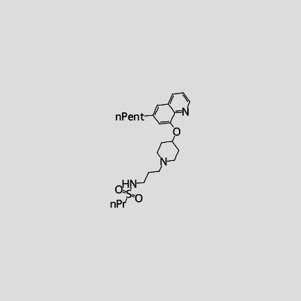 CCCCCc1cc(OC2CCN(CCCNS(=O)(=O)CCC)CC2)c2ncccc2c1